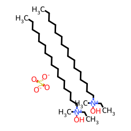 CCCCCCCCCCCCCCCC[N+](C)(O)CC.CCCCCCCCCCCCCCCC[N+](C)(O)CC.O=S(=O)([O-])[O-]